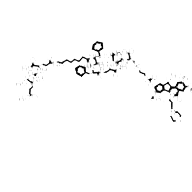 COc1cc2c3c(n(CCCN4CCOCC4)c(=O)c2cc1OC)-c1cc(OC)c(OC(=O)OCCSSC[C@H](NC(=O)[C@H](CC(=O)O)NC(=O)[C@@H](N)CNC(=O)[C@H](Cc2ccccc2)NC(=O)[C@H](Cc2ccccc2)NC(=O)CCCCCCCNC(=O)CC[C@H](NC(=O)N[C@@H](CCC(=O)O)C(=O)O)C(=O)O)C(=O)O)cc1C3=O